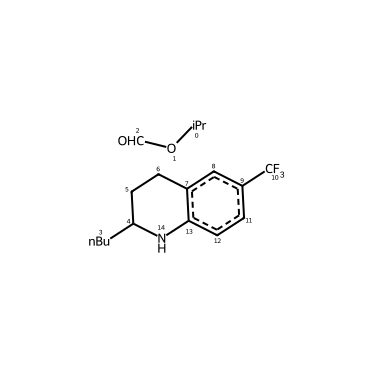 CC(C)OC=O.CCCCC1CCc2cc(C(F)(F)F)ccc2N1